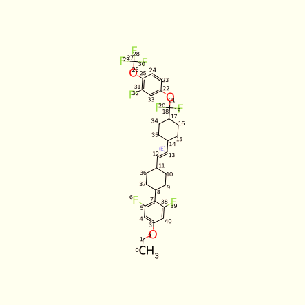 CCOc1cc(F)c(C2CCC(/C=C/C3CCC(C(F)(F)Oc4ccc(OC(F)(F)F)c(F)c4)CC3)CC2)c(F)c1